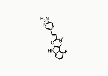 CN(Cc1c[nH]c2cccc(F)c12)C(=O)/C=C/c1ccc(N)nc1